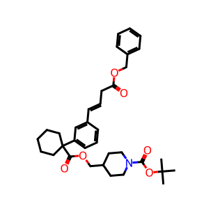 CC(C)(C)OC(=O)N1CCC(COC(=O)C2(c3cccc(/C=C/CC(=O)OCc4ccccc4)c3)CCCCC2)CC1